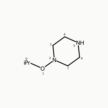 CC(C)ON1CCNCC1